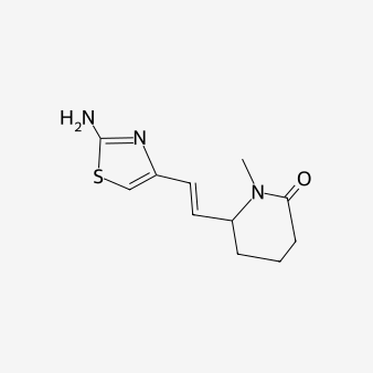 CN1C(=O)CCCC1C=Cc1csc(N)n1